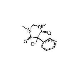 CCC1(c2ccccc2)C(=O)NCN(C)C1=O